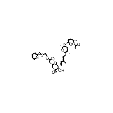 CC(=O)O[C@@H](C)/C=C\C(=O)N[C@@H]1C[C@H](C)[C@H](C/C=C(C)/C=C/[C@H]2O[C@H](CC(=O)OC[C@@H](C)SSc3ccccn3)C[C@@]3(CO3)[C@@H]2O)O[C@@H]1C